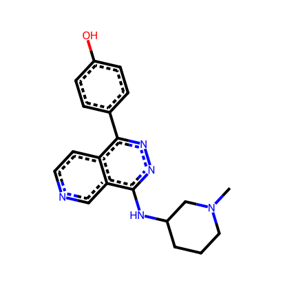 CN1CCCC(Nc2nnc(-c3ccc(O)cc3)c3ccncc23)C1